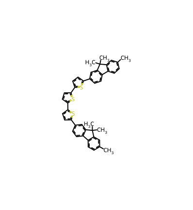 Cc1ccc2c(c1)C(C)(C)c1cc(-c3ccc(-c4ccc(-c5ccc(-c6ccc7c(c6)C(C)(C)c6cc(C)ccc6-7)s5)s4)s3)ccc1-2